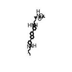 CC[C@H](C)CCc1nc2ccc(-c3ccc4cc(-c5ccc6nc(CC[C@H]7C[C@H]7NC(=O)OC(C)(C)C)[nH]c6c5)ccc4c3)cc2[nH]1